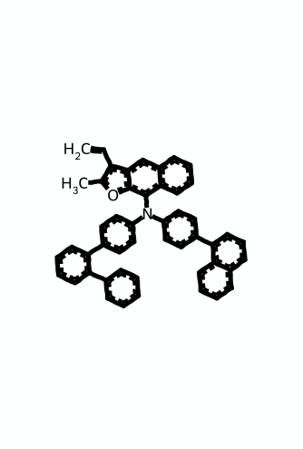 C=Cc1c(C)oc2c(N(c3ccc(-c4ccccc4-c4ccccc4)cc3)c3ccc(-c4cccc5ccccc45)cc3)c3ccccc3cc12